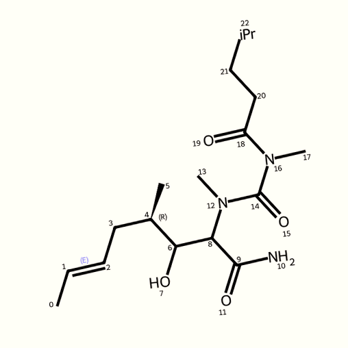 C/C=C/C[C@@H](C)C(O)C(C(N)=O)N(C)C(=O)N(C)C(=O)CCC(C)C